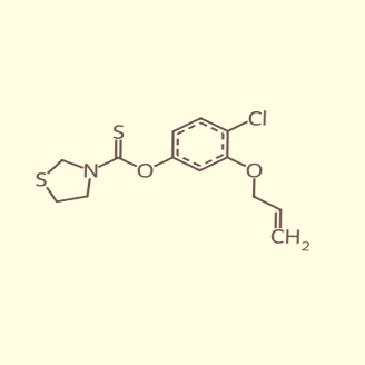 C=CCOc1cc(OC(=S)N2CCSC2)ccc1Cl